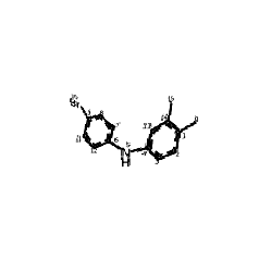 Cc1ccc(Nc2ccc(Br)cc2)cc1C